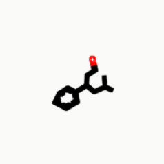 CC(C)CC(CC=O)c1ccccc1